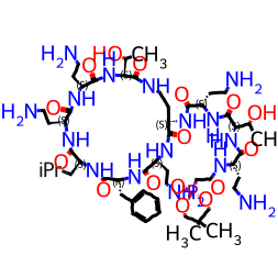 CC(C)C[C@@H]1NC(=O)[C@@H](Cc2ccccc2)NC(=O)[C@H](CCN)NC(=O)[C@@H](NC(=O)[C@H](CCN)NC(=O)[C@@H](NC(=O)[C@H](CCN)NC(=O)CP2(=O)OCC(C)(C)CO2)C(C)O)CCNC(=O)[C@H](C(C)O)NC(=O)[C@H](CCN)NC(=O)[C@H](CCN)NC1=O